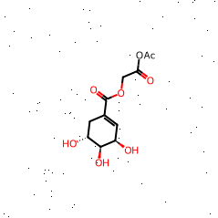 CC(=O)OC(=O)COC(=O)C1=C[C@@H](O)[C@@H](O)[C@H](O)C1